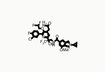 COc1cc(C(=O)NC[C@](O)(c2cc(CC(N)=O)c(OCC(F)F)c(-c3ccc(F)c(Cl)c3)n2)C(F)(F)F)cc2cn(C3CC3)nc12